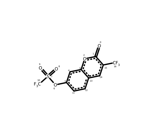 O=c1oc2cc(OS(=O)(=O)C(F)(F)F)ccc2cc1C(F)(F)F